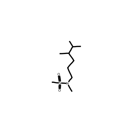 CC(C)C(C)CCCN(C)S(C)(=O)=O